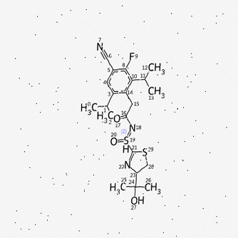 CC(C)c1cc(C#N)c(F)c(C(C)C)c1CC(=O)/N=[SH](=O)/C1=NC(C(C)(C)O)CS1